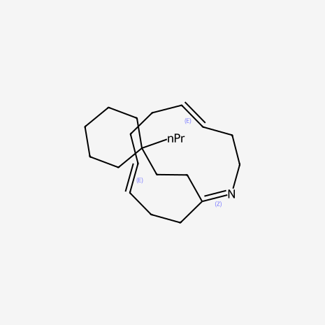 CCCC1(CC/C2=N\CC/C=C/CC/C=C/CC2)CCCCC1